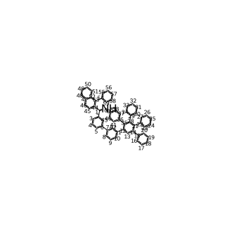 N=C(c1cccc(-c2cccc(-c3cc(-c4ccccc4)c(-c4ccccc4)c(-c4ccccc4)c3-c3ccccc3)c2)c1)c1ccc2ccccc2c1-c1ccccc1